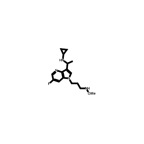 CONCCCn1cc(C(C)NC2CC2)c2ncc(F)cc21